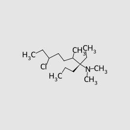 CCC[C@](CC)(C(C)CCC(Cl)CC)N(C)C